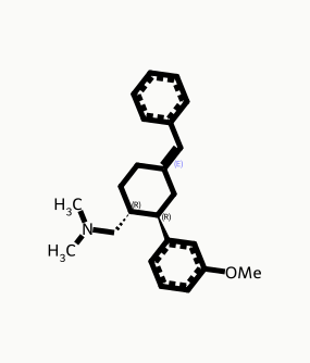 COc1cccc([C@@H]2C/C(=C/c3ccccc3)CC[C@H]2CN(C)C)c1